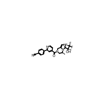 C[C@H]1CN(C(=O)c2ccnc(-c3ccc(C#N)cc3)c2)Cc2cnc([C@@](C)(O)C(F)(F)F)n21